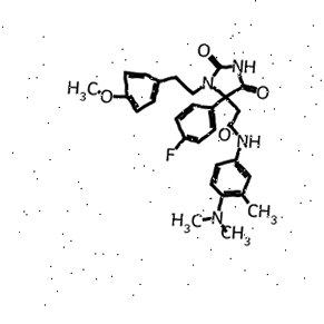 COc1ccc(CCN2C(=O)NC(=O)C2(CC(=O)Nc2ccc(N(C)C)c(C)c2)c2ccc(F)cc2)cc1